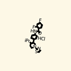 CC(C)C1=C(c2ccc(NC(=O)c3ccc(F)cc3F)cc2)CN(c2nccs2)CC1.Cl